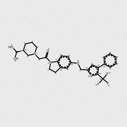 O=C(CN1CCC[C@H](C(O)O)C1)N1CCc2cc(OCc3cc(-c4ccccc4)c(C(F)(F)F)s3)ccc21